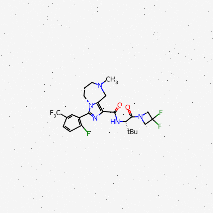 CN1CCCn2c(-c3cc(C(F)(F)F)ccc3F)nc(C(=O)N[C@H](C(=O)N3CC(F)(F)C3)C(C)(C)C)c2C1